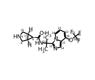 CC(C)(NC(=O)[C@H]1[C@@H]2CNC[C@@H]21)c1ncc2c(OC(F)(F)F)cccn12